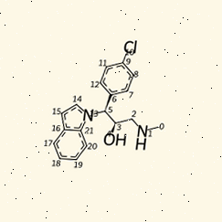 CNC[C@@H](O)[C@H](c1ccc(Cl)cc1)n1ccc2ccccc21